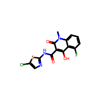 Cn1c(=O)c(C(=O)Nc2ncc(Cl)s2)c(O)c2c(F)cccc21